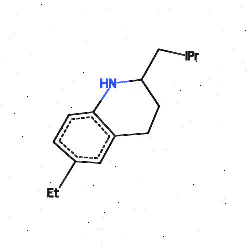 CCc1ccc2c(c1)CCC(CC(C)C)N2